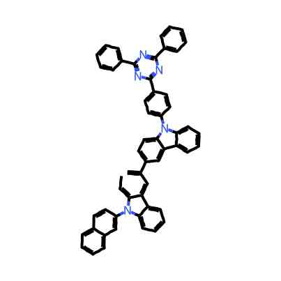 C=C(/C=c1\c(=C/C)n(-c2ccc3ccccc3c2)c2ccccc12)c1ccc2c(c1)c1ccccc1n2-c1ccc(-c2nc(-c3ccccc3)nc(-c3ccccc3)n2)cc1